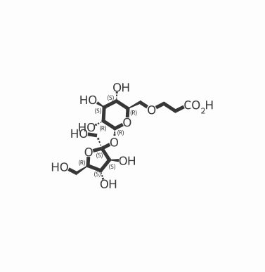 O=C(O)CCOC[C@H]1O[C@H](O[C@]2(CO)O[C@H](CO)[C@@H](O)[C@@H]2O)[C@H](O)[C@@H](O)[C@@H]1O